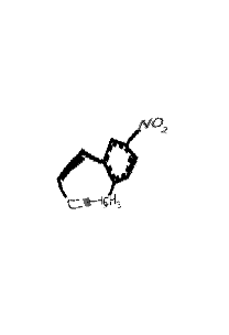 C/C=C\c1cc([N+](=O)[O-])ccc1C